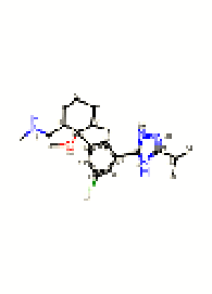 CNCC1CCCC(C)C1(OC)c1cc(F)cc(-c2nnc(C(C)C)[nH]2)c1